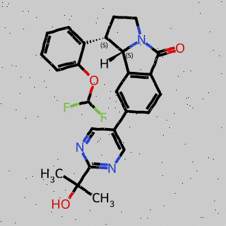 CC(C)(O)c1ncc(-c2ccc3c(c2)[C@@H]2[C@H](c4ccccc4OC(F)F)CCN2C3=O)cn1